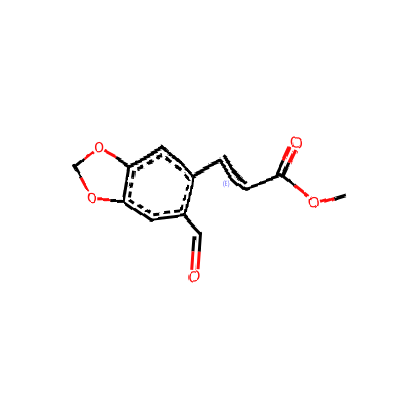 COC(=O)/C=C/c1cc2c(cc1C=O)OCO2